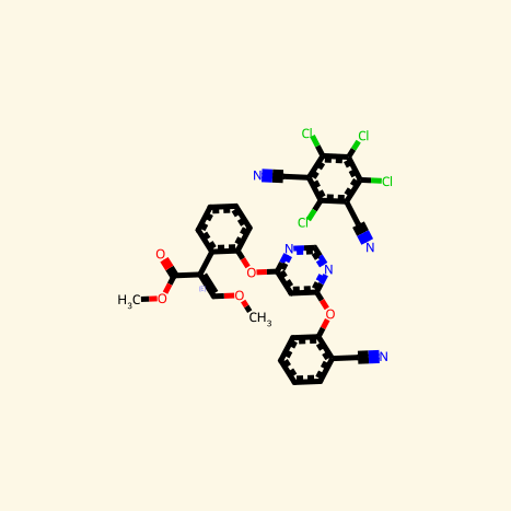 CO/C=C(/C(=O)OC)c1ccccc1Oc1cc(Oc2ccccc2C#N)ncn1.N#Cc1c(Cl)c(Cl)c(Cl)c(C#N)c1Cl